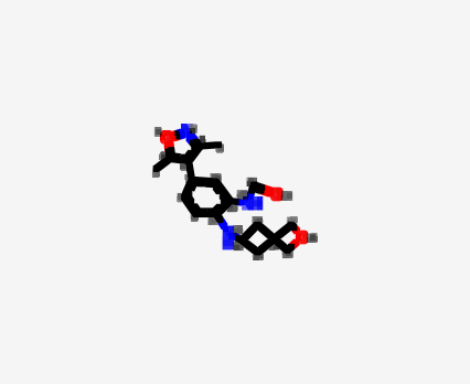 Cc1noc(C)c1-c1ccc(NC2CC3(COC3)C2)c(NC=O)c1